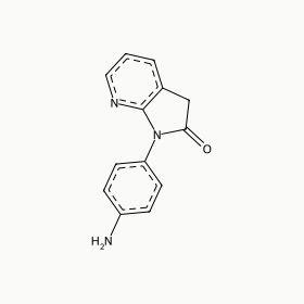 Nc1ccc(N2C(=O)Cc3cccnc32)cc1